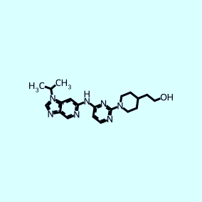 CC(C)n1cnc2cnc(Nc3ccnc(N4CCC(CCO)CC4)n3)cc21